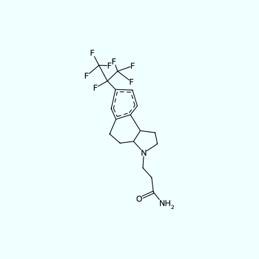 NC(=O)CCN1CCC2c3ccc(C(F)(C(F)(F)F)C(F)(F)F)cc3CCC21